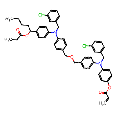 C=CC(=O)Oc1ccc(N(Cc2cccc(Cl)c2)c2ccc(COCc3ccc(N(Cc4cccc(Cl)c4)c4ccc(C(CCCC)OC(=O)CC)cc4)cc3)cc2)cc1